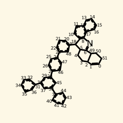 C1=CC2CCC3C(=Nc4c(ccc5ccccc45)C3c3cccc(-c4ccc(-c5cc(-c6ccccc6)cc(-c6ccccc6)c5)cc4)c3)C2CC1